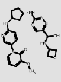 COc1cccn(-c2ccc(N[C@H]3CC[C@H](Nc4ncc(C(O)NC5COC5)nn4)C3)nc2)c1=O